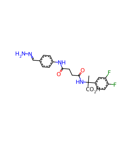 CC(NC(=O)CCC(=O)Nc1ccc(C=NN)cc1)(C(=O)O)c1ccc(F)c(F)c1